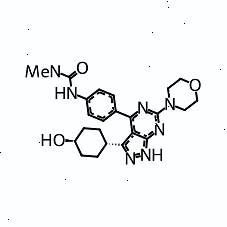 CNC(=O)Nc1ccc(-c2nc(N3CCOCC3)nc3[nH]nc([C@H]4CC[C@H](O)CC4)c23)cc1